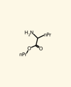 CCCOC(=O)C(N)CCC